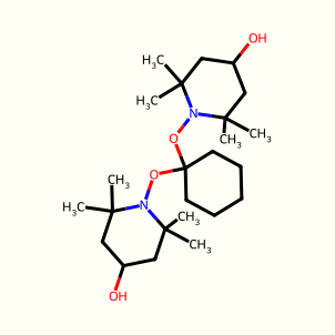 CC1(C)CC(O)CC(C)(C)N1OC1(ON2C(C)(C)CC(O)CC2(C)C)CCCCC1